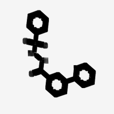 O=C(NNS(=O)(=O)c1ccccc1)c1cccc(-c2ccccn2)c1